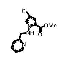 COC(=O)c1cc(Cl)cn1NCc1ccccn1